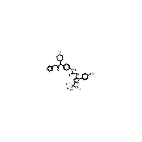 Cc1ccc(-n2nc(C(C)(C)C)cc2NC(=O)Nc2ccc(C(C(=O)Cc3ccsc3)C3CCNCC3)cc2)cc1